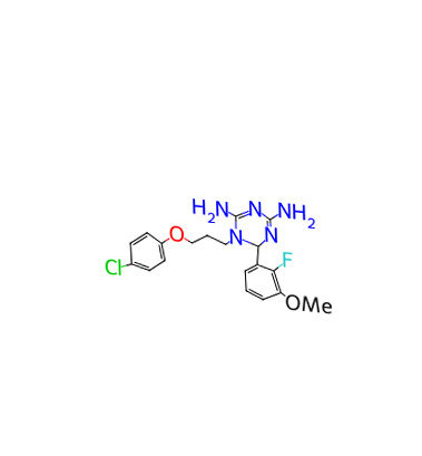 COc1cccc(C2N=C(N)N=C(N)N2CCCOc2ccc(Cl)cc2)c1F